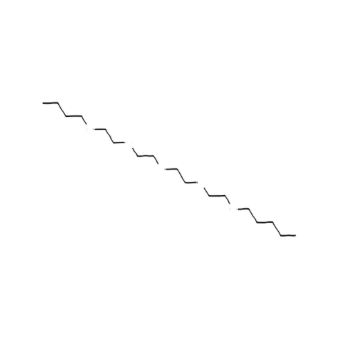 CCCCCOCCOCCOCCOCCOCCCC